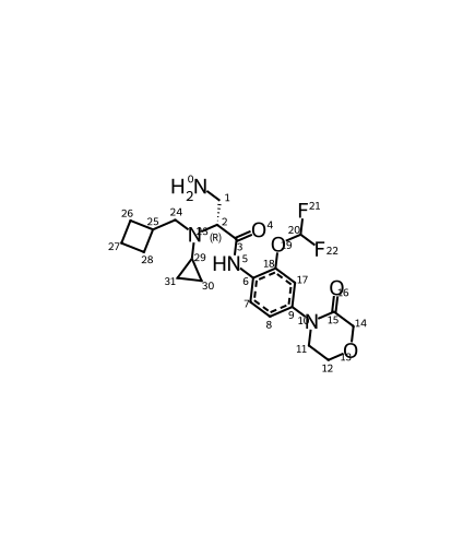 NC[C@H](C(=O)Nc1ccc(N2CCOCC2=O)cc1OC(F)F)N(CC1CCC1)C1CC1